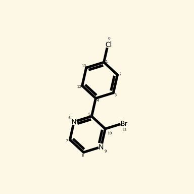 Clc1ccc(-c2nccnc2Br)cc1